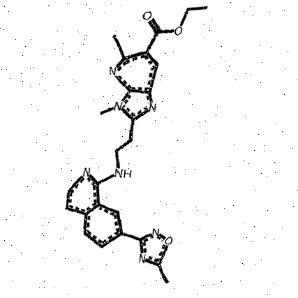 CCOC(=O)c1cc2nc(CCNc3nccc4ccc(-c5noc(C)n5)cc34)n(C)c2nc1C